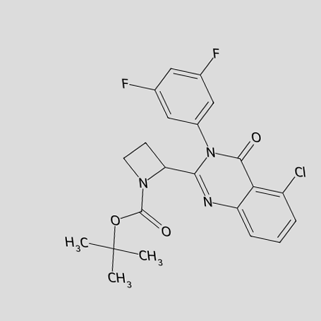 CC(C)(C)OC(=O)N1CCC1c1nc2cccc(Cl)c2c(=O)n1-c1cc(F)cc(F)c1